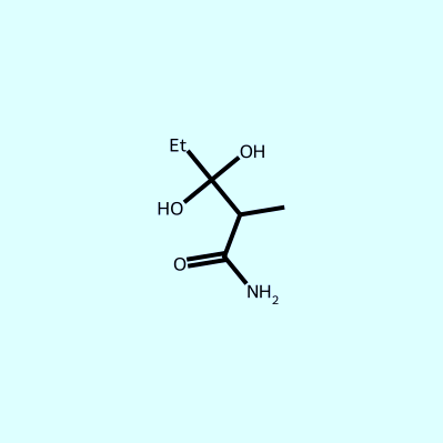 CCC(O)(O)C(C)C(N)=O